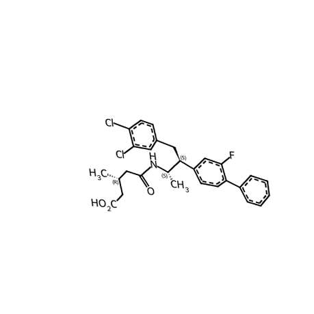 C[C@@H](CC(=O)O)CC(=O)N[C@@H](C)[C@@H](Cc1ccc(Cl)c(Cl)c1)c1ccc(-c2ccccc2)c(F)c1